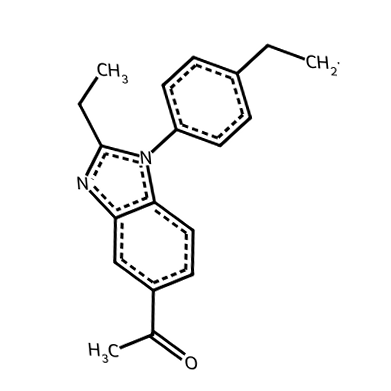 [CH2]Cc1ccc(-n2c(CC)nc3cc(C(C)=O)ccc32)cc1